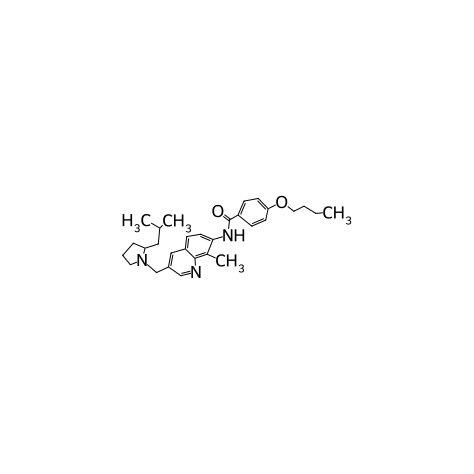 CCCCOc1ccc(C(=O)Nc2ccc3cc(CN4CCCC4CC(C)C)cnc3c2C)cc1